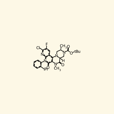 CC(C)c1ccccc1-n1c(=O)c2c(c3cc(F)c(Cl)nc31)N1C[C@@H](C)N(C(=O)OC(C)(C)C)C[C@@H]1C(=O)N2C